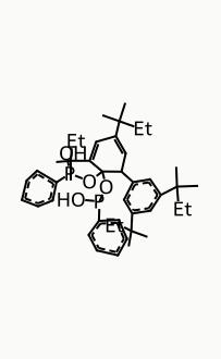 CCC(C)(C)C1=CC(c2cc(C(C)(C)CC)cc(C(C)(C)CC)c2)C(OP(O)c2ccccc2)(OP(O)c2ccccc2)C(C(C)(C)CC)=C1